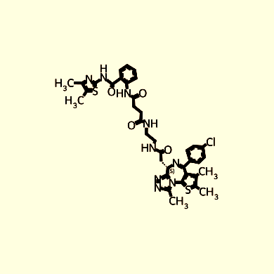 Cc1nc(NC(=O)c2ccccc2NC(=O)CCC(=O)NCCNC(=O)C[C@@H]2N=C(c3ccc(Cl)cc3)c3c(sc(C)c3C)-n3c(C)nnc32)sc1C